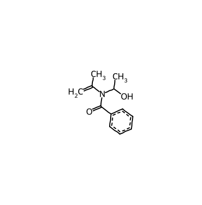 C=C(C)N(C(=O)c1ccccc1)C(C)O